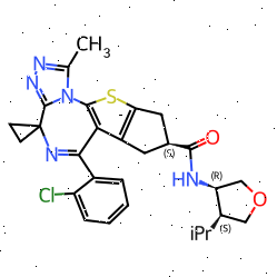 Cc1nnc2n1-c1sc3c(c1C(c1ccccc1Cl)=NC21CC1)C[C@H](C(=O)N[C@H]1COC[C@H]1C(C)C)C3